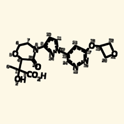 CC(O)(C(=O)O)C1OCCN(c2ccn(-c3cnnc(OC4COC4)c3)n2)C1=O